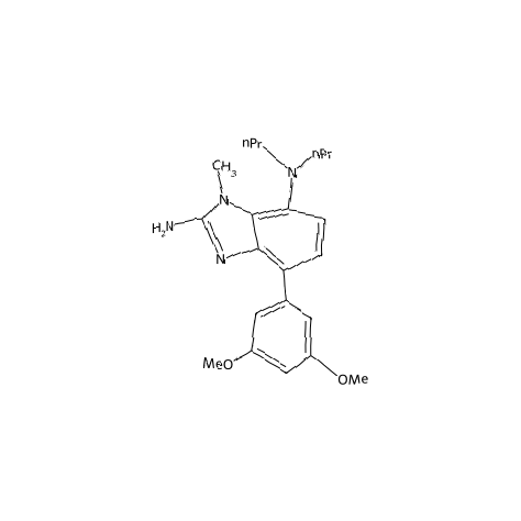 CCCN(CCC)c1ccc(-c2cc(OC)cc(OC)c2)c2nc(N)n(C)c12